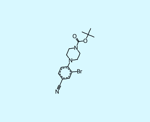 CC(C)(C)OC(=O)N1CCN(c2ccc(C#N)cc2Br)CC1